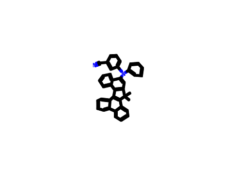 CC1(C)c2cc(N(c3ccccc3)c3cccc(C#N)c3)c3ccccc3c2-c2c1c1ccccc1c1ccccc21